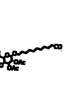 CC(=O)OC[C@H]1O[C@H](OCCCCCCCCCCC(=O)O)[C@H](OC(C)=O)[C@@H](OC(C)=O)[C@@H]1OC(C)=O